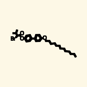 CCCCCCCCCCCCCOc1ccc(-c2ccc(OC(=O)C(Br)C(C)C)cc2)cc1